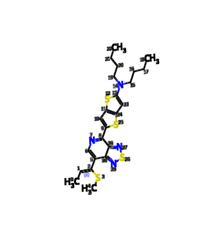 C/C=C(\SC)c1cnc(-c2cc3sc(N(CCCC)CCCC)cc3s2)c2nsnc12